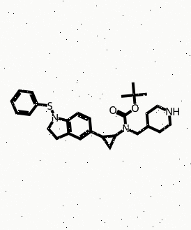 CC(C)(C)OC(=O)N(CC1CCNCC1)C1CC1c1ccc2c(c1)CCN2Sc1ccccc1